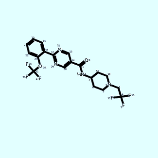 O=C(NC1CCN(CC(F)(F)F)CC1)c1cnc(-c2ccccc2OC(F)(F)F)nc1